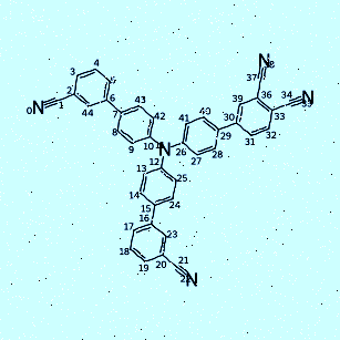 N#Cc1cccc(-c2ccc(N(c3ccc(-c4cccc(C#N)c4)cc3)c3ccc(-c4ccc(C#N)c(C#N)c4)cc3)cc2)c1